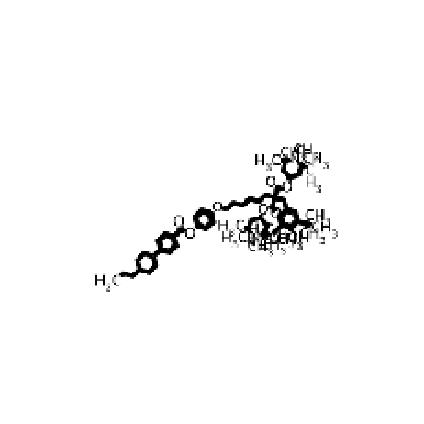 CCCC1CCC(c2ccc(C(=O)Oc3ccc(OCCCCCCC(Cc4cc(C(C)(C)C)c(O)c(C(C)(C)C)c4)(C(=O)OC4CC(C)(C)N(C)C(C)(C)C4)C(=O)OC4CC(C)(C)N(C)C(C)(C)C4)cc3)cc2)CC1